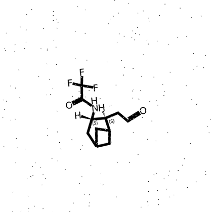 O=CC[C@H]1C2CC(C2)C[C@@H]1NC(=O)C(F)(F)F